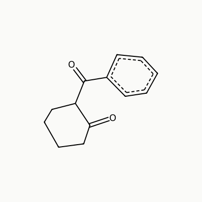 O=C1CCCCC1C(=O)c1ccccc1